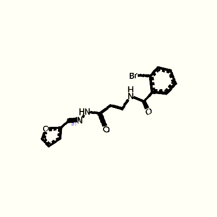 O=C(CCNC(=O)c1ccccc1Br)N/N=C/c1ccco1